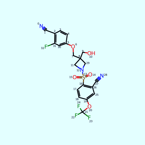 N#Cc1ccc(OCC2(CO)CN(S(=O)(=O)c3ccc(OC(F)(F)F)cc3C#N)C2)cc1F